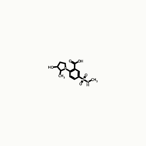 CNS(=O)(=O)c1ccc(N2CCC(O)C2C)c(C(=O)O)c1